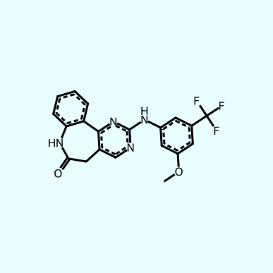 COc1cc(Nc2ncc3c(n2)-c2ccccc2NC(=O)C3)cc(C(F)(F)F)c1